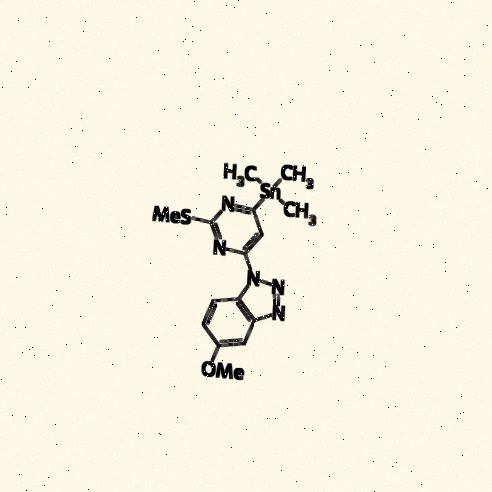 COc1ccc2c(c1)nnn2-c1c[c]([Sn]([CH3])([CH3])[CH3])nc(SC)n1